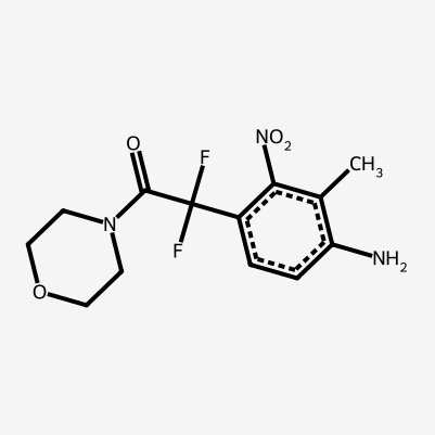 Cc1c(N)ccc(C(F)(F)C(=O)N2CCOCC2)c1[N+](=O)[O-]